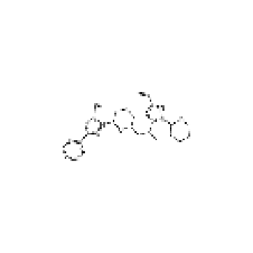 C=Cc1cc(C(C)CC2CCCC(n3nc(-c4ccccc4)cc3C(C)C)O2)n(C2CCCCO2)n1